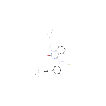 CC(C)(C)[Si](C)(C)OCCn1c(=O)nc(N(CC(F)F)c2cc(F)cc(C#CC3(C(F)(F)F)CC3)c2)c2c(F)cccc21